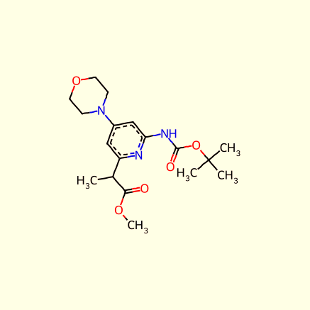 COC(=O)C(C)c1cc(N2CCOCC2)cc(NC(=O)OC(C)(C)C)n1